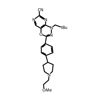 COCCN1CCC(c2ccc(C3=NN(CC(C)(C)C)c4nc(C#N)ncc4O3)cc2)CC1